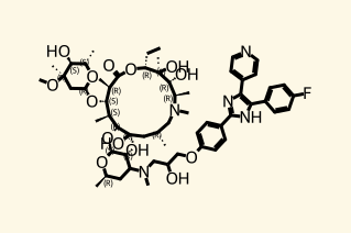 CC[C@H]1OC(=O)[C@H](C)[C@@H](O[C@H]2C[C@@](C)(OC)[C@@H](O)[C@H](C)O2)[C@H](C)[C@@H](O[C@@H]2O[C@H](C)CC(N(C)CC(O)COc3ccc(-c4nc(-c5ccncc5)c(-c5ccc(F)cc5)[nH]4)cc3)[C@H]2O)[C@](C)(O)C[C@@H](C)CN(C)[C@H](C)[C@@H](O)[C@]1(C)O